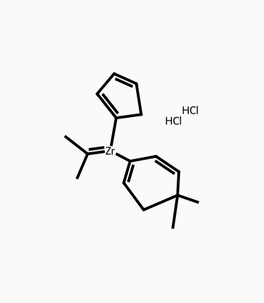 C[C](C)=[Zr]([C]1=CCC(C)(C)C=C1)[C]1=CC=CC1.Cl.Cl